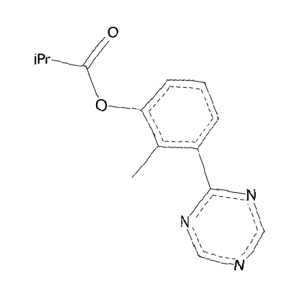 Cc1c(OC(=O)C(C)C)cccc1-c1ncncn1